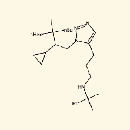 CCCCCCC(C)(CCCC)C(Cn1nncc1CCCNC(C)(C)CC)C1CC1